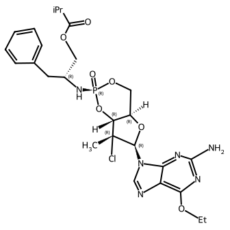 CCOc1nc(N)nc2c1ncn2[C@@H]1O[C@@H]2CO[P@](=O)(N[C@@H](COC(=O)C(C)C)Cc3ccccc3)O[C@H]2[C@@]1(C)Cl